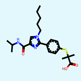 CCCCCn1cc(C(=O)NC(C)C)nc1-c1ccc(SC(C)(C)C(=O)O)cc1